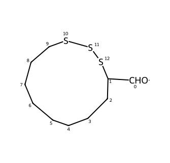 O=[C]C1CCCCCCCCSSS1